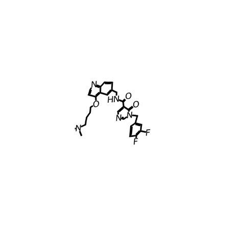 CN(C)CCCCOc1ccnc2ccc(CNC(=O)c3cncn(Cc4ccc(F)c(F)c4)c3=O)cc12